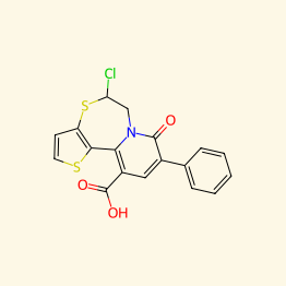 O=C(O)c1cc(-c2ccccc2)c(=O)n2c1-c1sccc1SC(Cl)C2